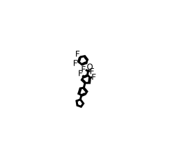 Fc1ccc(OC(F)(F)c2c(F)cc(-c3ccc(C4CCCC4)cc3)cc2F)cc1F